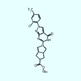 CC(C)(C)OC(=O)N1CC2CN(c3nc4nn(-c5ccc(C(F)(F)F)cc5Cl)cc4c(=O)[nH]3)CC2C1